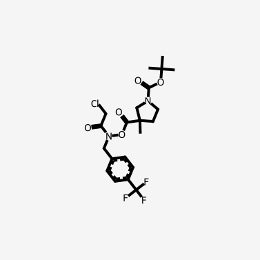 CC(C)(C)OC(=O)N1CCC(C)(C(=O)ON(Cc2ccc(C(F)(F)F)cc2)C(=O)CCl)C1